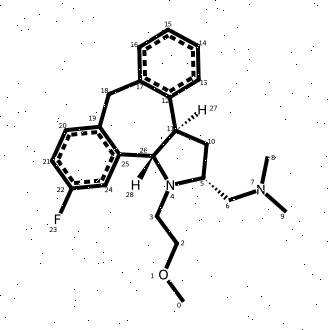 COCCN1[C@@H](CN(C)C)C[C@@H]2c3ccccc3Cc3ccc(F)cc3[C@H]21